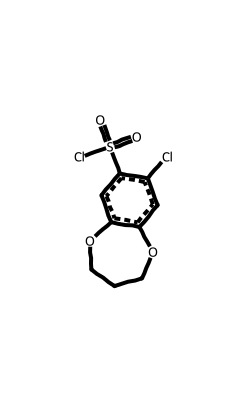 O=S(=O)(Cl)c1cc2c(cc1Cl)OCCCO2